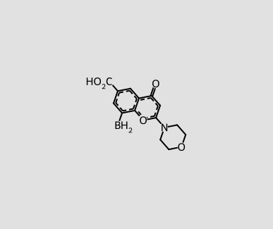 Bc1cc(C(=O)O)cc2c(=O)cc(N3CCOCC3)oc12